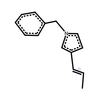 C/C=C/c1ccn(Cc2ccccc2)c1